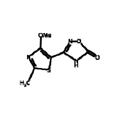 COc1nc(C)sc1-c1noc(=O)[nH]1